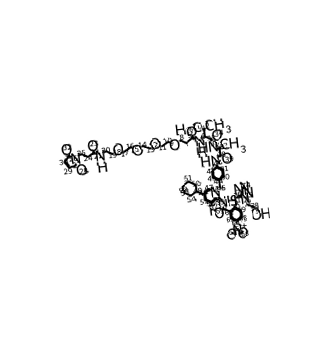 CC(C)[C@H](NC(=O)CCOCCOCCOCCOCCNC(=O)CCN1C(=O)C=CC1=O)C(=O)N[C@@H](C)C(=O)Nc1ccc(C[n+]2cc(C3CCCCC3)cc(F)c2NC(=O)c2cc([N+](=O)[O-])ccc2Sc2nnnn2CCO)cc1